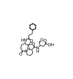 O=CC(CC(=O)O)NC(=O)C1CCCN2C(=O)CCC(NC(=O)CCc3ccccc3)C(=O)N12